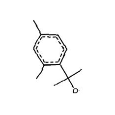 Cc1ccc(C(C)(C)[O])c(C)c1